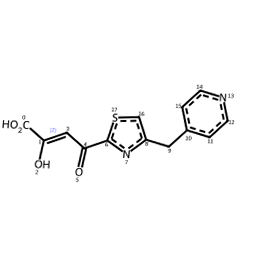 O=C(O)/C(O)=C/C(=O)c1nc(Cc2ccncc2)cs1